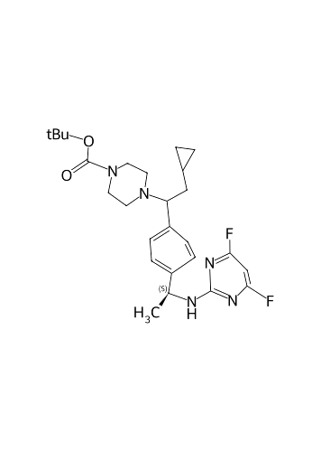 C[C@H](Nc1nc(F)cc(F)n1)c1ccc(C(CC2CC2)N2CCN(C(=O)OC(C)(C)C)CC2)cc1